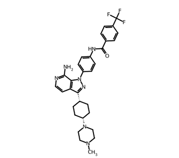 CN1CCN([C@H]2CC[C@@H](c3nn(-c4ccc(NC(=O)c5ccc(C(F)(F)F)cc5)cc4)c4c(N)nccc43)CC2)CC1